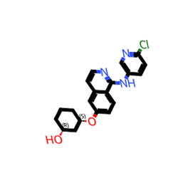 O[C@@H]1CCC[C@H](Oc2ccc3c(Nc4ccc(Cl)nc4)nccc3c2)C1